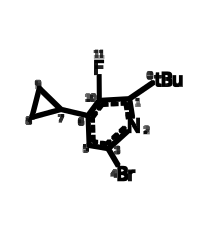 CC(C)(C)c1nc(Br)cc(C2CC2)c1F